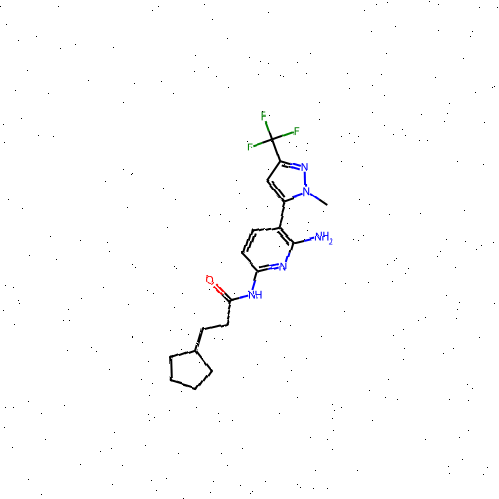 Cn1nc(C(F)(F)F)cc1-c1ccc(NC(=O)CCC2CCCC2)nc1N